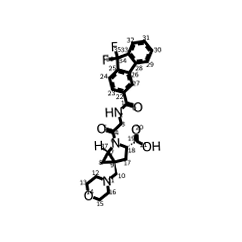 O=C(NCC(=O)N1[C@H]2C[C@@]2(CN2CCOCC2)C[C@H]1C(=O)O)c1ccc2c(c1)-c1ccccc1C2(F)F